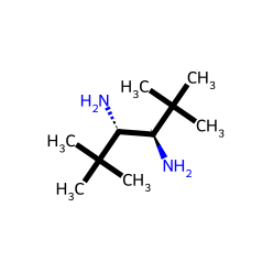 CC(C)(C)[C@H](N)[C@H](N)C(C)(C)C